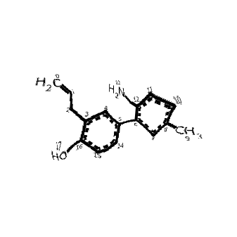 C=CCc1cc(-c2cc(C)ccc2N)ccc1O